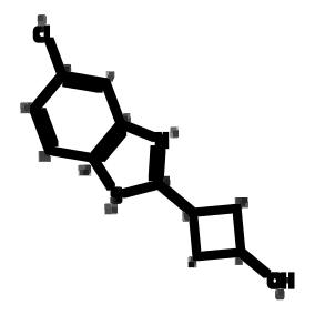 OC1CC(c2nc3cc(Cl)ccc3s2)C1